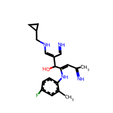 CC(=N)/C=C(\Nc1ccc(F)cc1C)C(O)/C(C=N)=C/NCC1CC1